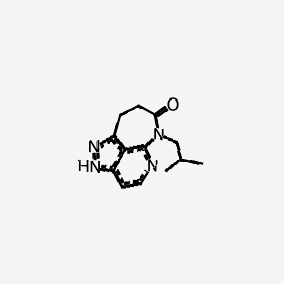 CC(C)CN1C(=O)CCc2n[nH]c3ccnc1c23